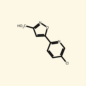 O=C(O)c1cc(-c2ccc(Cl)cn2)on1